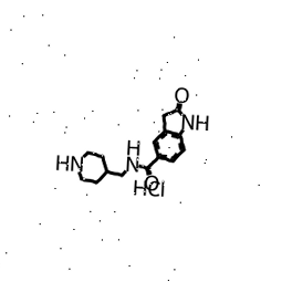 Cl.O=C1Cc2cc(C(=O)NCC3CCNCC3)ccc2N1